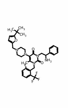 Cc1c(N2CCN(Cc3ccc(C(C)(C)C)o3)CC2)c(=O)n(CC(N)c2ccccc2)c(=O)n1Cc1c(F)cccc1C(F)(F)F